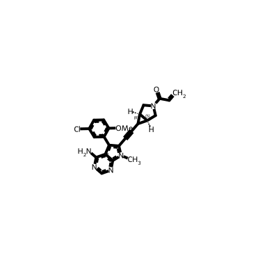 C=CC(=O)N1C[C@@H]2C(C#Cc3c(-c4cc(Cl)ccc4OC)c4c(N)ncnc4n3C)[C@@H]2C1